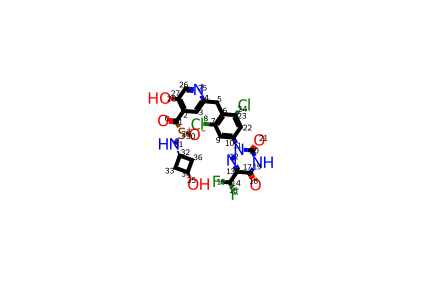 O=C(c1cc(Cc2c(Cl)cc(-n3nc(C(F)F)c(=O)[nH]c3=O)cc2Cl)ncc1O)[S+]([O-])N[C@H]1C[C@H](O)C1